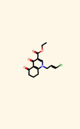 CCOC(=O)c1cn(CC=CBr)c2c(c1=O)C(=O)CCC2